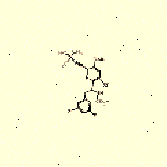 CNc1cc(Br)c(C(Cc2cc(F)cc(F)c2)NC(=O)O)nc1C#CC(C)(C)O